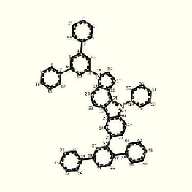 c1ccc(-c2cc(-c3ccccc3)cc(-n3ccc4c3ccc3c5cc(-c6cc(-c7ccccc7)ccc6-c6ccccc6)ccc5n(-c5ccccc5)c34)c2)cc1